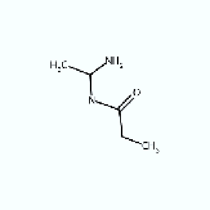 CCC(=O)[N]C(C)N